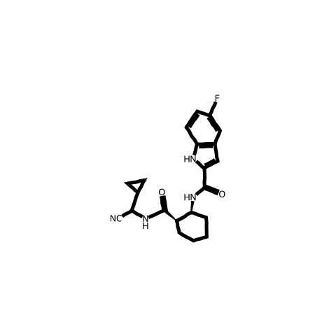 N#CC(NC(=O)[C@@H]1CCCC[C@@H]1NC(=O)c1cc2cc(F)ccc2[nH]1)C1CC1